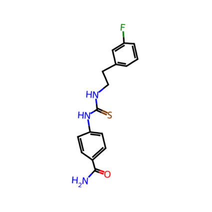 NC(=O)c1ccc(NC(=S)NCCc2cccc(F)c2)cc1